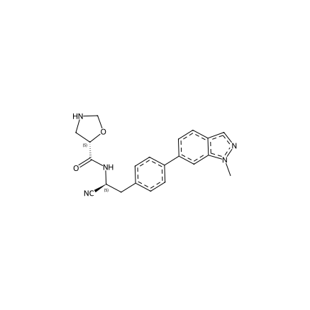 Cn1ncc2ccc(-c3ccc(C[C@@H](C#N)NC(=O)[C@@H]4CNCO4)cc3)cc21